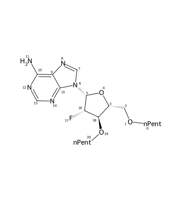 CCCCCOC[C@H]1O[C@@H](n2cnc3c(N)ncnc32)[C@@H](F)[C@@H]1OCCCCC